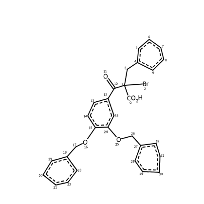 O=C(O)C(Br)(Cc1ccccc1)C(=O)c1ccc(OCc2ccccc2)c(OCc2ccccc2)c1